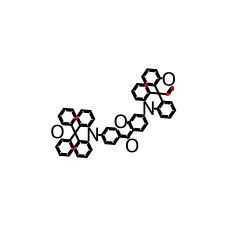 O=c1c2ccc(N3c4ccccc4C4(c5ccccc5Oc5ccccc54)c4ccccc43)cc2oc2cc(N3c4ccccc4C4(c5ccccc5Oc5ccccc54)c4ccccc43)ccc12